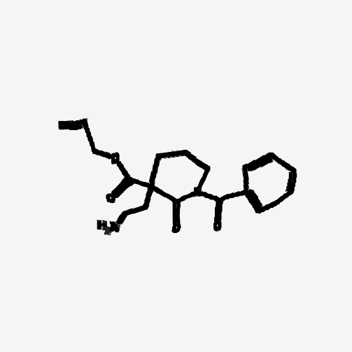 C=CCOC(=O)C1(CCN)CCCN(C(=O)c2ccccc2)C1=O